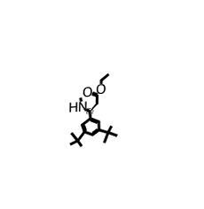 CCOC(=O)C[C@H](NC)c1cc(C(C)(C)C)cc(C(C)(C)C)c1